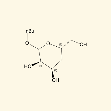 CCCCOC1O[C@H](CO)C[C@@H](O)[C@H]1O